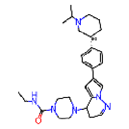 CCNC(=O)N1CCN(C2CC=Nn3cc(-c4ccc([C@H]5CCCN(C(C)C)C5)cc4)cc32)CC1